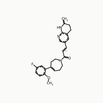 C=C1CCc2cc(/C=C/C(=O)N3CCC=C(c4cc(F)ccc4OC)CC3)cnc2N1